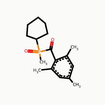 Cc1cc(C)c(C(=O)P(C)(=O)C2CCCCC2)c(C)c1